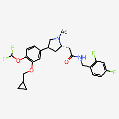 CC(=O)N1CC(c2ccc(OC(F)F)c(OCC3CC3)c2)C[C@H]1CC(=O)NCc1ccc(F)cc1F